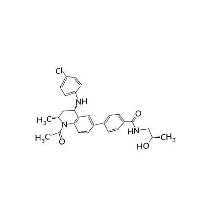 CC(=O)N1c2ccc(-c3ccc(C(=O)NC[C@@H](C)O)cc3)cc2[C@H](Nc2ccc(Cl)cc2)C[C@@H]1C